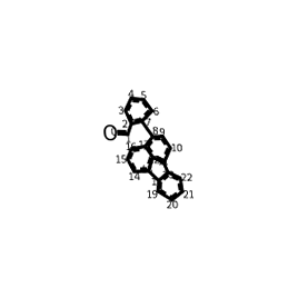 O=Cc1ccccc1-c1ccc2c3c(cccc13)-c1ccccc1-2